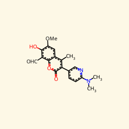 COc1cc2c(C)c(-c3ccc(N(C)C)nc3)c(=O)oc2c(C=O)c1O